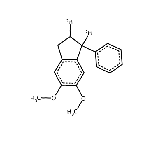 [2H]C1Cc2cc(OC)c(OC)cc2C1([2H])c1ccccc1